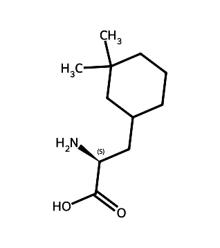 CC1(C)CCCC(C[C@H](N)C(=O)O)C1